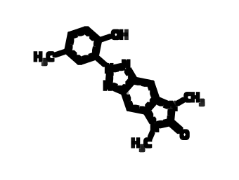 Cc1ccc(O)c(-n2nc3cc4c(cc3n2)n(C)c(=O)n4C)c1